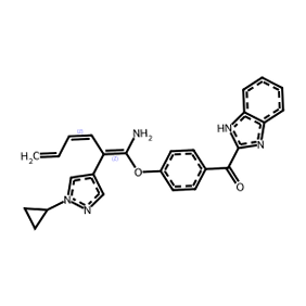 C=C/C=C\C(=C(/N)Oc1ccc(C(=O)c2nc3ccccc3[nH]2)cc1)c1cnn(C2CC2)c1